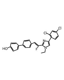 CCn1cc(-c2ccc(Cl)cc2Cl)nc1C(F)=Cc1ccc(-c2ccc(O)cc2)cc1